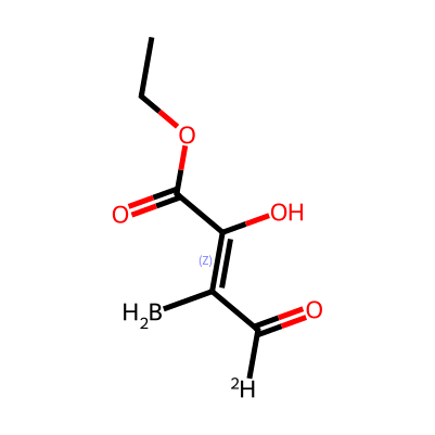 [2H]C(=O)/C(B)=C(\O)C(=O)OCC